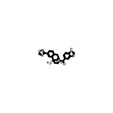 CC1C2Cc3ccc(-c4ncon4)cc3C1(C)CCN2C(=O)c1ccc2[nH]cnc2c1